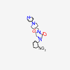 O=C1CN(Cc2ccccc2[N+](=O)[O-])CC2OC3(CCN(c4ccncc4)CC3)CN12